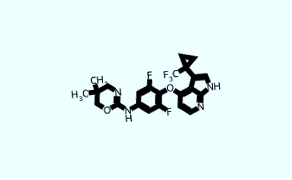 CC1(C)CN=C(Nc2cc(F)c(Oc3ccnc4[nH]cc(C5(C(F)(F)F)CC5)c34)c(F)c2)OC1